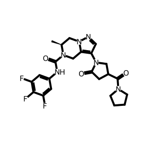 C[C@H]1Cn2ncc(N3CC(C(=O)N4CCCC4)CC3=O)c2CN1C(=O)Nc1cc(F)c(F)c(F)c1